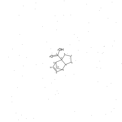 O=C(O)C12CCCC1C1C=CC2C1